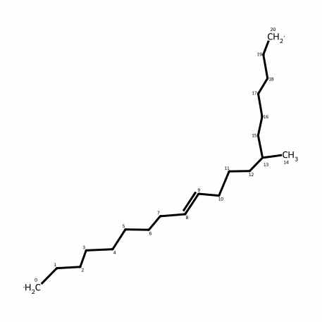 [CH2]CCCCCCCC=CCCCC(C)CCCCC[CH2]